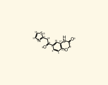 O=C1COc2ccc(C(=O)Cc3nccs3)cc2N1